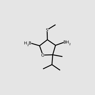 BC1OC(C)(C(C)C)C(B)C1SC